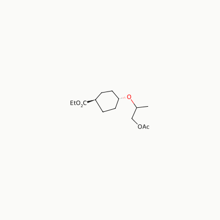 CCOC(=O)[C@H]1CC[C@H](OC(C)COC(C)=O)CC1